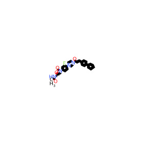 CC(=O)NC[C@H]1CN(c2ccc(N3CCN(C(=O)C=Cc4ccc(-c5ccccc5)cc4)CC3)c(F)c2)C(=O)O1